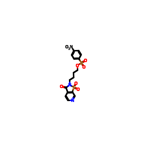 O=C1c2ccncc2S(=O)(=O)N1CCCCOS(=O)(=O)c1ccc([N+](=O)[O-])cc1